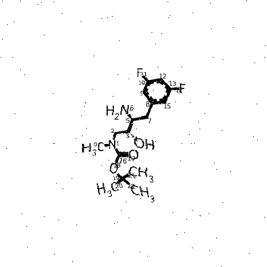 CN(C[C@@H](O)[C@@H](N)Cc1cc(F)cc(F)c1)C(=O)OC(C)(C)C